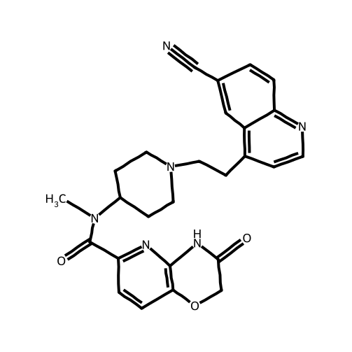 CN(C(=O)c1ccc2c(n1)NC(=O)CO2)C1CCN(CCc2ccnc3ccc(C#N)cc23)CC1